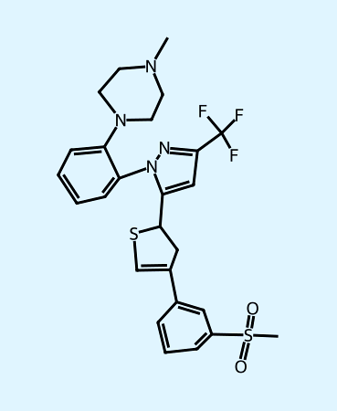 CN1CCN(c2ccccc2-n2nc(C(F)(F)F)cc2C2CC(c3cccc(S(C)(=O)=O)c3)=CS2)CC1